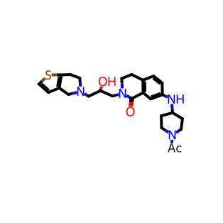 CC(=O)N1CCC(Nc2ccc3c(c2)C(=O)N(CC(O)CN2CCc4sccc4C2)CC3)CC1